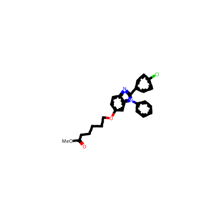 COC(=O)CCCCCOc1ccc2nc(-c3ccc(Cl)cc3)n(-c3ccccc3)c2c1